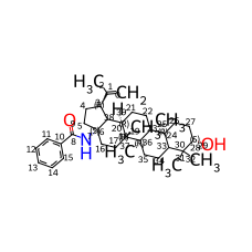 C=C(C)[C@@H]1CC[C@]2(NC(=O)c3ccccc3)CC[C@]3(C)[C@H](CCC4[C@@]5(C)CC[C@H](O)C(C)(C)C5CC[C@]43C)C12